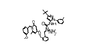 COc1cccc(Cn2c(C)cc(OCc3ccccc3CN(N)C(=O)Nc3cc(C(C)(C)C)nn3-c3cccc(C)c3)cc2=O)c1